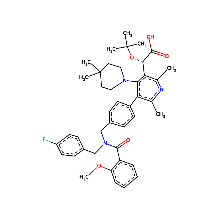 COc1ccccc1C(=O)N(Cc1ccc(F)cc1)Cc1ccc(-c2c(C)nc(C)c([C@H](OC(C)(C)C)C(=O)O)c2N2CCC(C)(C)CC2)cc1